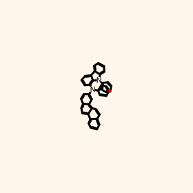 c1ccc(N(c2ccc3ccc4c5ccccc5ccc4c3c2)c2cccc3c4ccccc4n(-c4ccccc4)c23)cc1